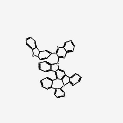 C1=CC2Oc3ccccc3C2C=C1c1nc2ccccc2nc1-n1c2ccccc2c2c3c4c(cc21)c1ccccc1n4-c1ccccc1-c1ccccc1-3